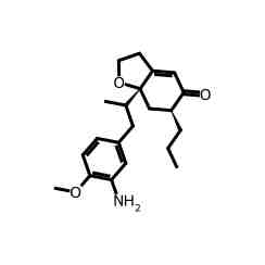 CCC[C@H]1C[C@]2(C(C)Cc3ccc(OC)c(N)c3)OCCC2=CC1=O